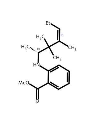 CC/C=C(/C)C(C)(C)[C@@H](C)Nc1ccccc1C(=O)OC